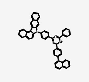 c1ccc(C2=NC(c3ccc(-n4c5cc6ccccc6cc5c5c6ccccc6ccc54)cc3)=NC(c3ccc(-c4cccc5ccccc45)cc3)N2)cc1